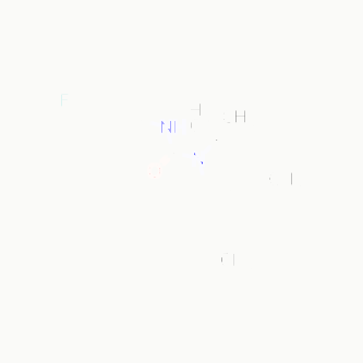 CC1=CC(C)(C)N(C(=O)Nc2ccc(F)cc2)c2ccc(C)cc21